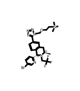 C[C@@H]1Cc2cc(-c3nnnn3COCC[Si](C)(C)C)ccc2[C@@H](c2ccc(Br)cn2)N1CC(F)(F)F